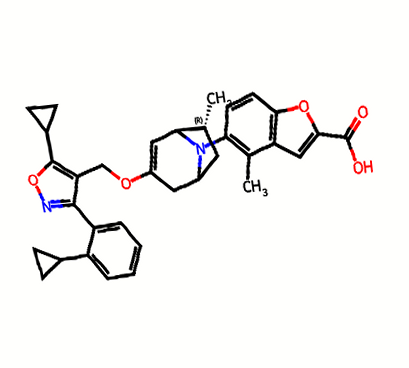 Cc1c(N2C3CC(OCc4c(-c5ccccc5C5CC5)noc4C4CC4)=CC2[C@H](C)C3)ccc2oc(C(=O)O)cc12